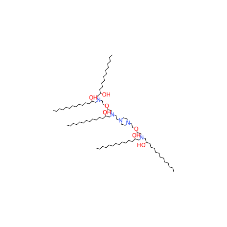 CCCCCCCCCCCCC(O)CN(CCOCCN(CC(O)CCCCCCCCCCCC)CC(O)CCCCCCCCCCCC)CCN1CCN(CCOCCN(CC(O)CCCCCCCCCCCC)CC(O)CCCCCCCCCCCC)CC1